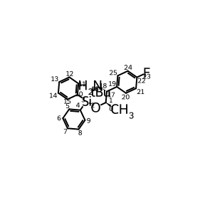 C[C@@H](O[Si](c1ccccc1)(c1ccccc1)C(C)(C)C)[C@H](N)c1ccc(F)cc1